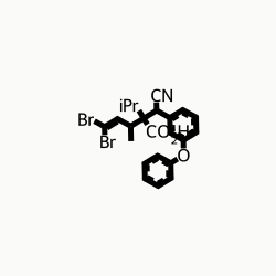 CC(C)C(C(=O)O)(C(C)C=C(Br)Br)C(C#N)c1cccc(Oc2ccccc2)c1